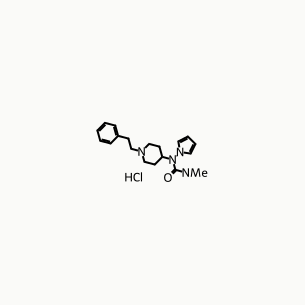 CNC(=O)N(C1CCN(CCc2ccccc2)CC1)n1cccc1.Cl